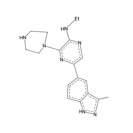 CCNc1ncc(-c2ccc3[nH]nc(C)c3c2)nc1N1CCNCC1